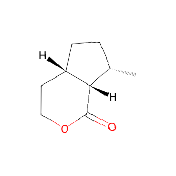 C[C@H]1CC[C@H]2CCOC(=O)[C@H]21